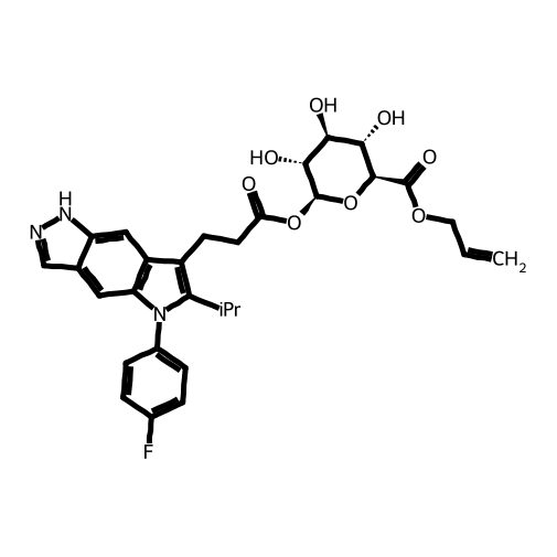 C=CCOC(=O)[C@H]1O[C@@H](OC(=O)CCc2c(C(C)C)n(-c3ccc(F)cc3)c3cc4cn[nH]c4cc23)[C@H](O)[C@@H](O)[C@@H]1O